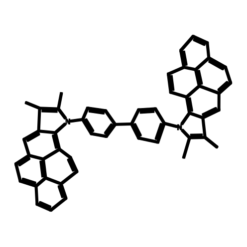 Cc1c(C)n(-c2ccc(-c3ccc(-n4c(C)c(C)c5cc6ccc7cccc8ccc(c6c78)c54)cc3)cc2)c2c1cc1ccc3cccc4ccc2c1c34